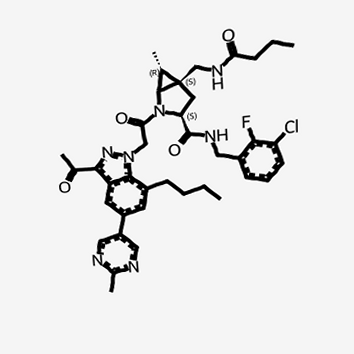 CCCCc1cc(-c2cnc(C)nc2)cc2c(C(C)=O)nn(CC(=O)N3C4[C@H](C)[C@]4(CNC(=O)CCC)C[C@H]3C(=O)NCc3cccc(Cl)c3F)c12